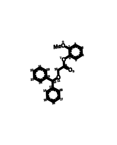 COc1ccccc1OC(=O)COC(c1ccccc1)c1ccccc1